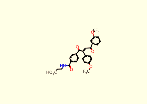 O=C(O)CCNC(=O)c1ccc(C(=O)C(=CC(=O)c2cccc(OC(F)(F)F)c2)c2ccc(OC(F)(F)F)cc2)cc1